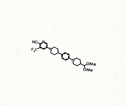 COC(OC)C1CCN(c2ccc(C3CCN(c4cnc(C#N)c(C(F)(F)F)c4)CC3)cc2)CC1